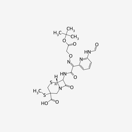 CSC1(C(=O)O)CS[C@@H]2C(NC(=O)C(=NOCC(=O)OC(C)(C)C)c3cccc(NC=O)n3)C(=O)N2C1